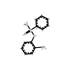 O=[N+]([O-])c1ccccc1OP(=O)(O)c1ccccc1